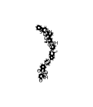 C[C@H]1CC2(CCC(N3CCN(c4ccc5c(c4)C(=O)N(C4CCC(=O)NC4=O)C5=O)CC3)C2)CCN1c1ccc(Nc2cc(-c3ccnc(N4CCc5c(sc6c5CCCC6)C4=O)c3CO)cn(C)c2=O)nc1